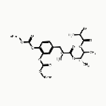 CCCCCOC(=O)Oc1ccc(C[C@H](N)C(=O)O[C@@H](C)C(C)OC(=O)C(C)C(C)C)cc1OC(=O)OCCCCC